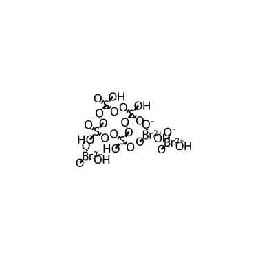 O=S(=O)(O)OOS(=O)(=O)O.O=S(=O)(O)OOS(=O)(=O)O.[O-][Br+2]([O-])O.[O-][Br+2]([O-])O.[O-][Br+2]([O-])O